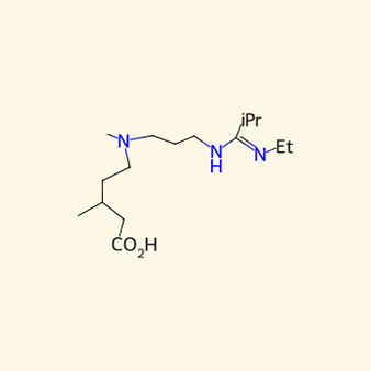 CC/N=C(/NCCCN(C)CCC(C)CC(=O)O)C(C)C